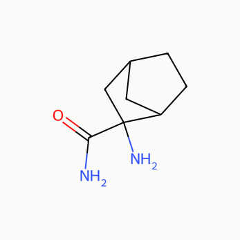 NC(=O)C1(N)CC2CCC1C2